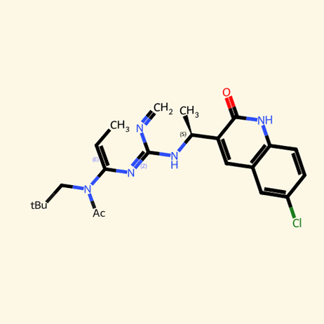 C=N/C(=N\C(=C/C)N(CC(C)(C)C)C(C)=O)N[C@@H](C)c1cc2cc(Cl)ccc2[nH]c1=O